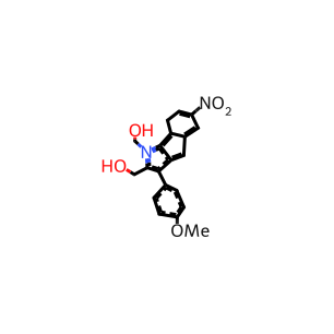 COc1ccc(-c2c(CO)n(CO)c3c2=CC2=CC([N+](=O)[O-])=CCC=32)cc1